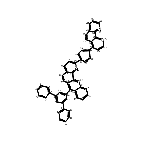 c1ccc(-c2cc(-c3ccccc3)cc(-c3c4ccccc4nc4c3ccc3ccc(-c5ccc(-c6ccnc7c6ccc6cccnc67)cc5)nc34)c2)cc1